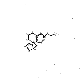 CCCc1ccc2c(c1)CCCC21CC2C=CC1C2